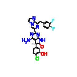 C[C@@]1(c2ccc(Cl)c(O)c2)C(=O)Nc2nc(-c3cn4ccnc4c(Cc4ccc(F)c(F)c4)n3)nc(N)c21